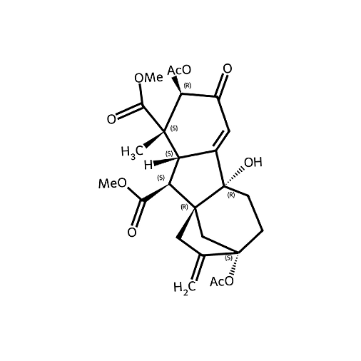 C=C1C[C@]23C[C@@]1(OC(C)=O)CC[C@]2(O)C1=CC(=O)[C@H](OC(C)=O)[C@@](C)(C(=O)OC)[C@H]1[C@@H]3C(=O)OC